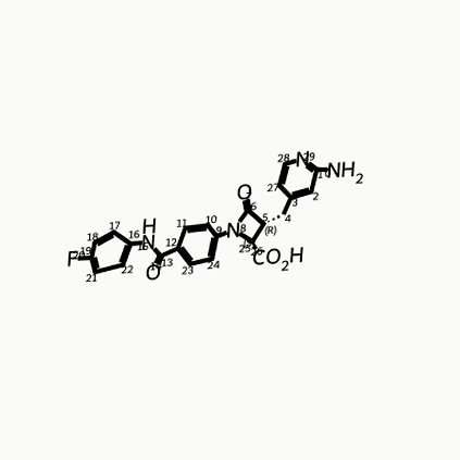 Nc1cc(C[C@H]2C(=O)N(c3ccc(C(=O)Nc4ccc(F)cc4)cc3)[C@@H]2C(=O)O)ccn1